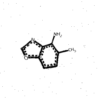 Cc1ccc2ocnc2c1N